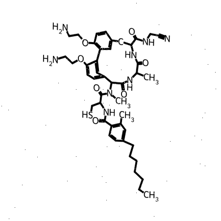 CCCCCCCc1ccc(C(=O)NC(CS)C(=O)N(C)C2C(=O)NC(C)C(=O)NC(C(=O)NCC#N)Cc3ccc(OCCN)c(c3)-c3cc2ccc3OCCN)c(C)c1